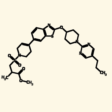 CCCc1cnc(N2CCC(Oc3nc4ccc(C5=CCN(S(=O)(=O)CC(C)C(=O)OC)CC5)cc4s3)CC2)nc1